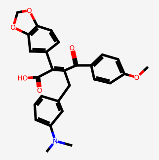 COc1ccc(C(=O)/C(Cc2cccc(N(C)C)c2)=C(/C(=O)O)c2ccc3c(c2)OCO3)cc1